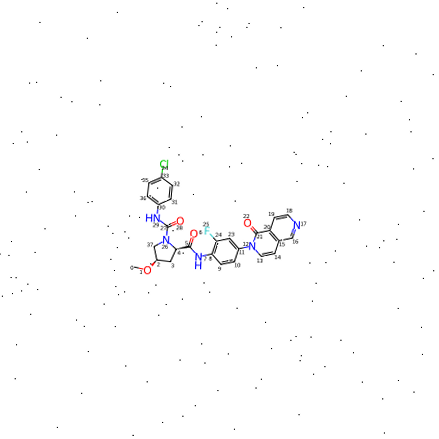 CO[C@@H]1C[C@H](C(=O)Nc2ccc(-n3ccc4cnccc4c3=O)cc2F)N(C(=O)Nc2ccc(Cl)cc2)C1